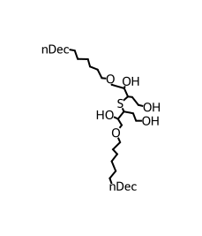 CCCCCCCCCCCCCCCCOCC(O)C(CCO)SC(CCO)C(O)COCCCCCCCCCCCCCCCC